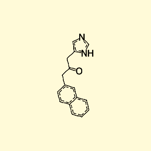 O=C(Cc1ccc2ccccc2c1)Cc1cnc[nH]1